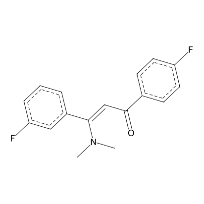 CN(C)C(=CC(=O)c1ccc(F)cc1)c1cccc(F)c1